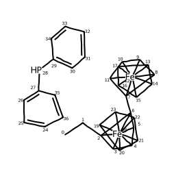 CC[C]12[CH]3[CH]4[CH]5[C]1([C]16[CH]7[CH]8[CH]9[CH]1[Fe]89761%10%11%12[CH]6[CH]1[CH]%10[CH]%11[CH]6%12)[Fe]43521678[CH]2[CH]1[CH]6[CH]7[CH]28.c1ccc(Pc2ccccc2)cc1